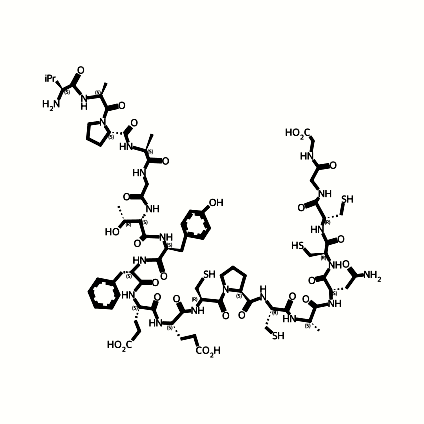 CC(C)[C@H](N)C(=O)N[C@@H](C)C(=O)N1CCC[C@H]1C(=O)N[C@@H](C)C(=O)NCC(=O)N[C@H](C(=O)N[C@@H](Cc1ccc(O)cc1)C(=O)N[C@@H](Cc1ccccc1)C(=O)N[C@@H](CCC(=O)O)C(=O)N[C@@H](CCC(=O)O)C(=O)N[C@@H](CS)C(=O)N1CCC[C@H]1C(=O)N[C@@H](CS)C(=O)N[C@@H](C)C(=O)N[C@@H](CC(N)=O)C(=O)N[C@@H](CS)C(=O)N[C@@H](CS)C(=O)NCC(=O)NCC(=O)O)[C@@H](C)O